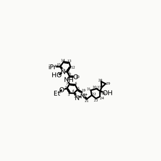 CCOc1cc2c(cc1NC(=O)c1cccc(C(C)C)[n+]1O)=C/[N+](=C\C1CCC(O)(C3CC3)CC1)N=2